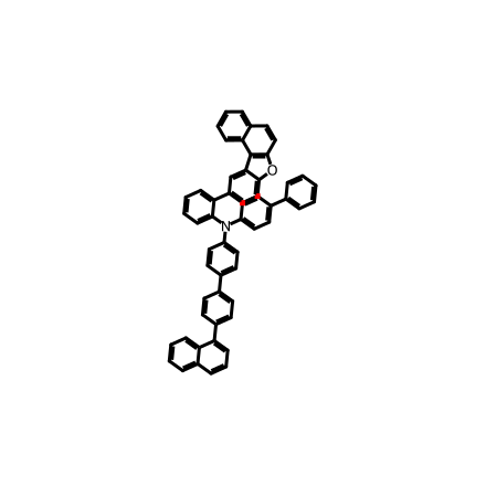 c1ccc(-c2ccc(N(c3ccc(-c4ccc(-c5cccc6ccccc56)cc4)cc3)c3ccccc3-c3ccc4oc5ccc6ccccc6c5c4c3)cc2)cc1